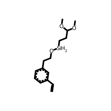 C=Cc1cccc(CCO[SiH2]CCC(OC)OC)c1